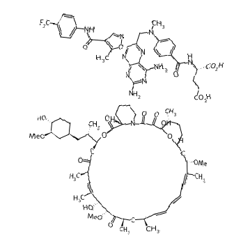 CN(Cc1cnc2nc(N)nc(N)c2n1)c1ccc(C(=O)N[C@@H](CCC(=O)O)C(=O)O)cc1.CO[C@H]1C[C@@H]2CC[C@@H](C)[C@@](O)(O2)C(=O)C(=O)N2CCCC[C@H]2C(=O)O[C@H]([C@@H](C)C[C@@H]2CC[C@@H](O)[C@H](OC)C2)CC(=O)[C@H](C)/C=C(\C)[C@@H](O)[C@@H](OC)C(=O)[C@H](C)C[C@H](C)/C=C/C=C/C=C/1C.Cc1oncc1C(=O)Nc1ccc(C(F)(F)F)cc1